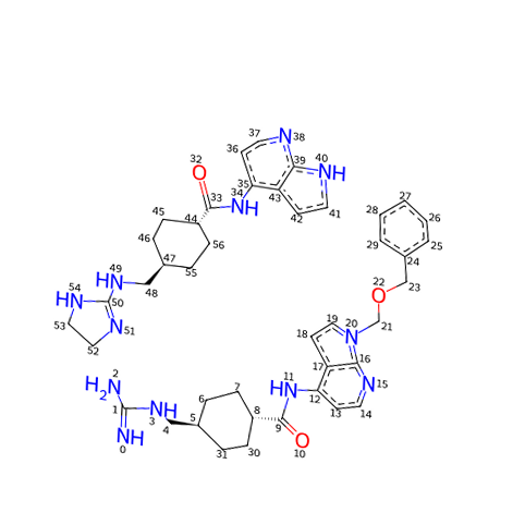 N=C(N)NC[C@H]1CC[C@H](C(=O)Nc2ccnc3c2ccn3COCc2ccccc2)CC1.O=C(Nc1ccnc2[nH]ccc12)[C@H]1CC[C@H](CNC2=NCCN2)CC1